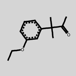 CCOc1cccc(C(C)(C)C(C)=O)c1